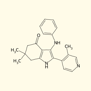 Cc1cnccc1-c1[nH]c2c(c1Nc1ccccc1)C(=O)CC(C)(C)C2